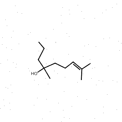 CCCC(C)(O)CCC=C(C)C